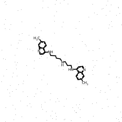 Cc1ccc2c(NCCCCNCCCNc3ccnc4cc(C)ccc34)ccnc2c1